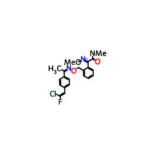 CNC(=O)/C(=N/OC)c1ccccc1CON=C(C)c1ccc(C=C(F)Cl)cc1